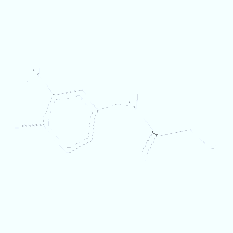 Nc1cc(NC(=O)CBr)ccc1F